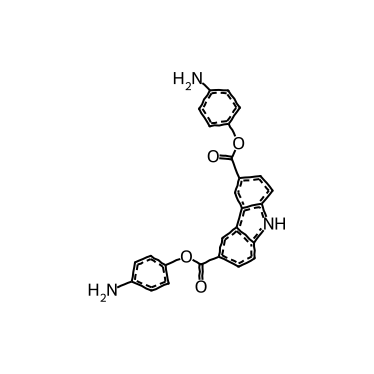 Nc1ccc(OC(=O)c2ccc3[nH]c4ccc(C(=O)Oc5ccc(N)cc5)cc4c3c2)cc1